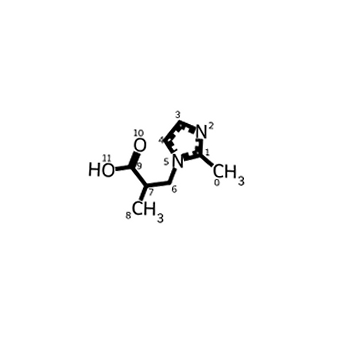 Cc1nccn1CC(C)C(=O)O